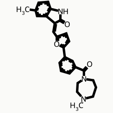 Cc1ccc2c(c1)C(=Cc1ccc(-c3cccc(C(=O)N4CCCN(C)CC4)c3)o1)C(=O)N2